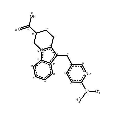 C[S+]([O-])c1ccc(Cc2c3n(c4ccccc24)CC(C(=O)O)CC3)cn1